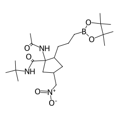 CC(=O)NC1(C(=O)NC(C)(C)C)CC(C[N+](=O)[O-])CC1CCCB1OC(C)(C)C(C)(C)O1